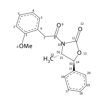 COc1ccccc1CC(=O)N1C(=O)O[C@@H](c2ccccc2)[C@@H]1C